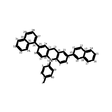 Cc1ccc(N2c3ccc(-c4ccc5ccccc5c4)cc3Cc3cc(-c4cccc5ccccc45)ccc32)cc1